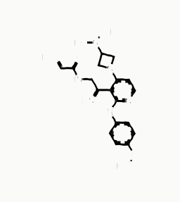 C=CC(=O)NCC(=N)c1c(N2CC(N(C)C)C2)ccnc1Nc1ccc(OC(F)(F)F)cc1